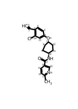 C#Cc1ccc(O[C@H]2CC[C@H](NC(=O)c3ccc(C)nc3)CC2)cc1Cl